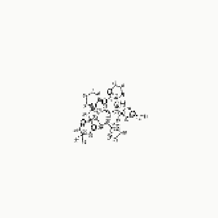 C1CCC(OC2CCCCO2)OC1.CCOCC(C)(C)C(O)C=CC1CCC2(OCC(C)(C)CO2)C1CCC1SCCS1